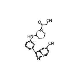 N#CCC(=O)N1CCCC(Nc2cccc(-c3cnn4ccc(C#N)cc34)n2)C1